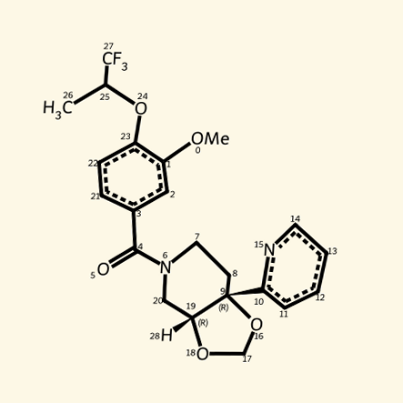 COc1cc(C(=O)N2CC[C@]3(c4ccccn4)OCO[C@@H]3C2)ccc1OC(C)C(F)(F)F